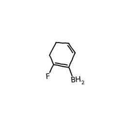 BC1=C(F)CCC=C1